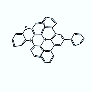 c1ccc(-c2cc(-c3ccccc3)c(B3c4ccccc4N4c5ccccc5Sc5cccc3c54)c(-c3ccccc3)c2)cc1